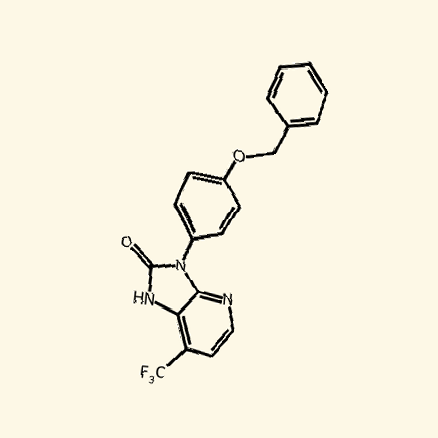 O=c1[nH]c2c(C(F)(F)F)ccnc2n1-c1ccc(OCc2ccccc2)cc1